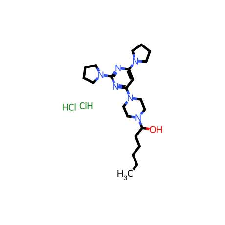 CCCCCC(O)N1CCN(c2cc(N3CCCC3)nc(N3CCCC3)n2)CC1.Cl.Cl